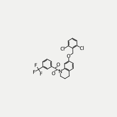 O=S(=O)(c1cccc(C(F)(F)F)c1)N1CCCc2ccc(OCc3c(Cl)cccc3Cl)cc21